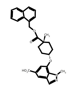 Cn1ncc2cc(C(=O)O)cc(O[C@H]3CC[C@@](C)(C(=O)OCc4cccc5ccccc45)CC3)c21